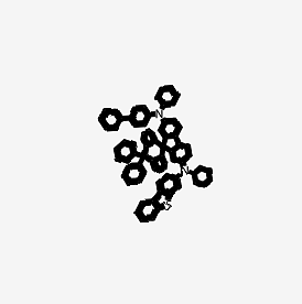 c1ccc(-c2ccc(N(c3ccccc3)c3ccc4c(c3)C3(c5cc(N(c6ccccc6)c6ccc7c(c6)sc6ccccc67)ccc5-4)c4ccccc4C(c4ccccc4)(c4ccccc4)c4ccccc43)cc2)cc1